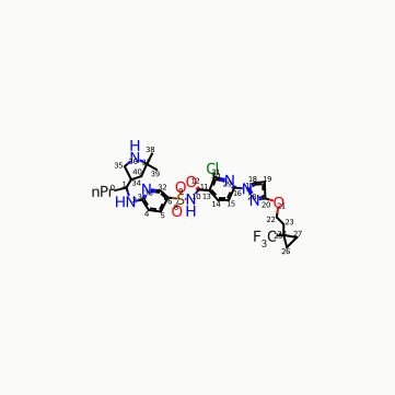 CCCC(Nc1ccc(S(=O)(=O)NC(=O)c2ccc(-n3ccc(OCCC4(C(F)(F)F)CC4)n3)nc2Cl)cn1)C1CNC(C)(C)C1